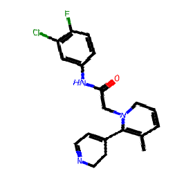 CC1=C(C2=CC=NCC2)N(CC(=O)Nc2ccc(F)c(Cl)c2)CC=C1